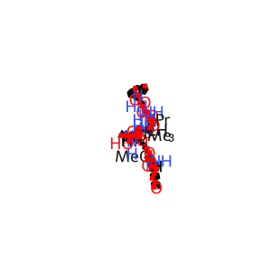 COc1cc2c(cc1OCCCCCOC1CC3NC(O)[C@@H]4CC5(CC5)CN4C(=O)C3(Cc3ccc(NC(=O)[C@H](C)NC(=O)[C@@H](NC(=O)CNC(=O)CNC(=O)CCC(=O)N4Cc5ccccc5C#Cc5ccccc54)C(C)C)cc3)CC1OC)NC[C@@H]1CC(c3ccc(C4CCOCC4)cc3)=CN1C2=O